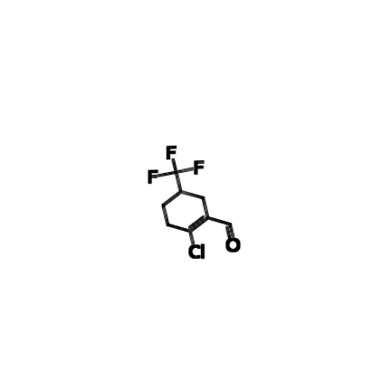 O=CC1=C(Cl)CCC(C(F)(F)F)C1